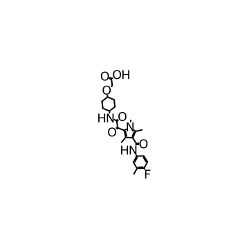 Cc1cc(NC(=O)c2c(C)c(C(=O)C(=O)NC3CCC(OCC(=O)O)CC3)n(C)c2C)ccc1F